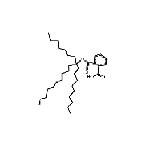 CCCCCCCCCCC(CCCCCCC)(CCCCCCCCC)OC(=O)c1ccccc1C(=O)O